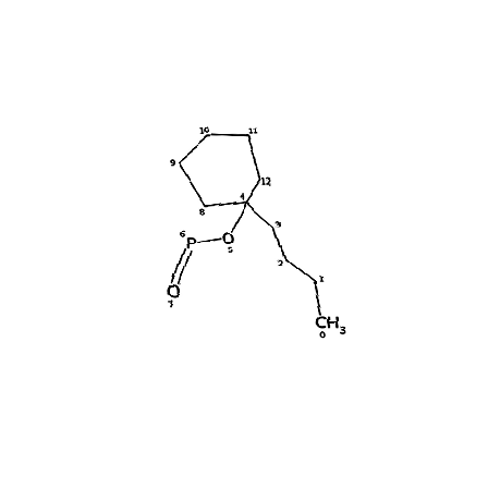 CCCCC1(OP=O)CCCCC1